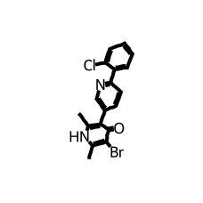 Cc1[nH]c(C)c(-c2ccc(-c3ccccc3Cl)nc2)c(=O)c1Br